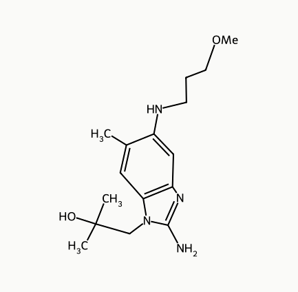 COCCCNc1cc2nc(N)n(CC(C)(C)O)c2cc1C